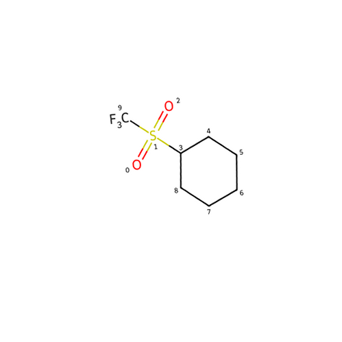 O=S(=O)(C1CCCCC1)C(F)(F)F